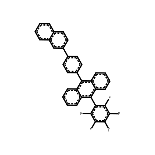 Fc1c(F)c(F)c(-c2c3ccccc3c(-c3ccc(-c4ccc5ccccc5c4)cc3)c3ccccc23)c(F)c1F